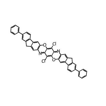 Clc1c2c(c(Cl)c3c1=Nc1cc4c(cc1O3)-c1ccc(-c3ccccc3)cc1C4)=Nc1cc3c(cc1O2)-c1ccc(-c2ccccc2)cc1C3